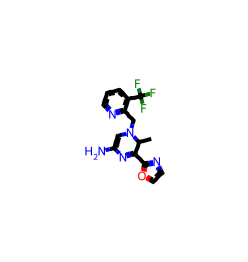 CC1C(c2ncco2)=NC(N)=CN1Cc1ncccc1C(F)(F)F